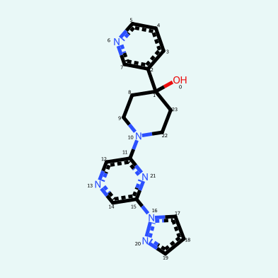 OC1(c2cccnc2)CCN(c2cncc(-n3cccn3)n2)CC1